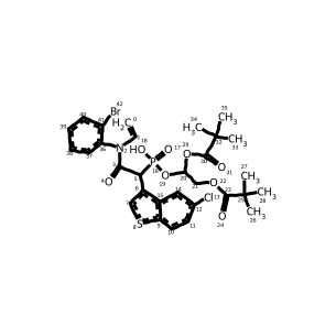 C=CN(C(=O)C(c1csc2ccc(Cl)cc12)P(=O)(O)OC(COC(=O)C(C)(C)C)OC(=O)C(C)(C)C)c1ccccc1Br